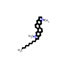 CCCCCCCCCc1cc2cc3ccc4c5cc6c(ccn6C)cc5ccc4c3cc2n1C